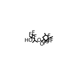 CC(COC(=O)C1CC(C)CC(F)(C(C)(F)F)C1(F)F)CC(C)(O)C(F)(F)F